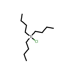 CCC[CH2][Ti]([Cl])([CH2]CCC)[CH2]CCC